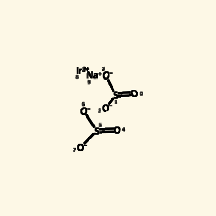 O=S([O-])[O-].O=S([O-])[O-].[Ir+3].[Na+]